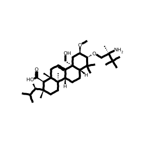 CO[C@@H]1C[C@]2(CO)C3=CC[C@@]4(C)[C@H](C(=O)O)[C@@](C)([C@H](C)C(C)C)CC[C@]4(C)[C@H]3CC[C@H]2C(C)(C)[C@H]1OC[C@@](C)(N)C(C)(C)C